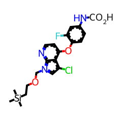 C[Si](C)(C)CCOCn1cc(Cl)c2c(Oc3ccc(NC(=O)O)cc3F)ccnc21